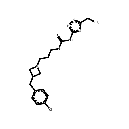 CCc1nnc(NC(=O)NCCCN2CC(Cc3ccc(Cl)cc3)C2)s1